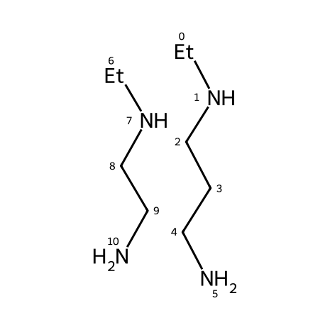 CCNCCCN.CCNCCN